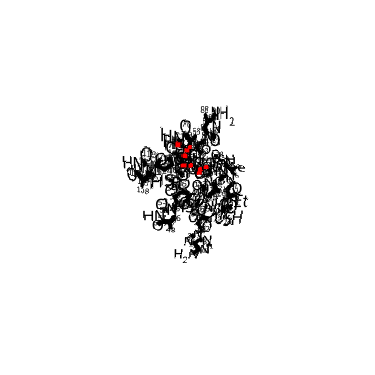 CC[C@H]1O[C@@H](n2cc(C)c(=O)[nH]c2=O)C[C@H]1OP(=O)(S)OC[C@H]1O[C@@H](n2cnc3c(N)ncnc32)C[C@H]1OP(=O)(S)OC[C@H]1O[C@@H](n2cc(C)c(=O)[nH]c2=O)C[C@H]1OP(=O)(S)OC[C@H]1O[C@@H](n2cc(C)c(=O)[nH]c2=O)C[C@H]1OP(=O)(S)OC[C@H]1O[C@@H](n2cc(C)c(N)nc2=O)C[C@H]1OP(=O)(S)OC[C@H]1O[C@@H](n2cc(C)c(=O)[nH]c2=O)C[C@H]1OP(=O)(S)OC[C@H]1O[C@@H](n2cc(C)c(N)nc2=O)C[C@H]1OP(=O)(S)OC